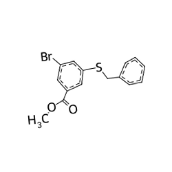 COC(=O)c1cc(Br)cc(SCc2ccccc2)c1